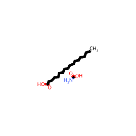 CCCCCCCCCCCCCCCCCC(=O)O.NC(=O)O